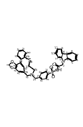 O=C(Cn1c2ccccc2c2ccccc21)NS(=O)(=O)c1ccc(CN(CCSc2ccccc2)Cc2ccc3c(c2)OCO3)cc1